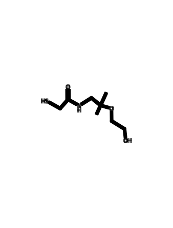 CC(C)(CNC(=O)CS)OCCO